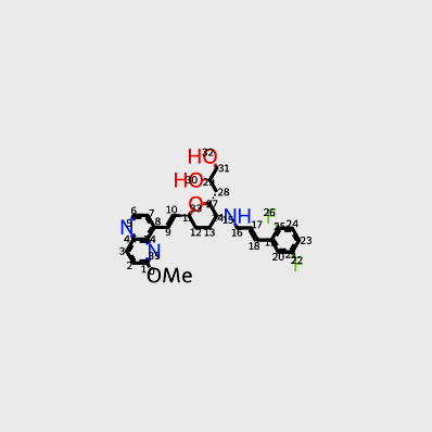 COc1ccc2nccc(C=C[C@@H]3CC[C@@H](NCC=Cc4cc(F)ccc4F)[C@@H](C[C@H](O)CO)O3)c2n1